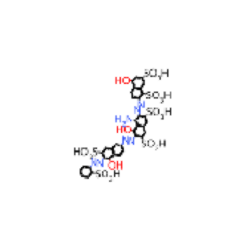 Nc1c(N=Nc2ccc3c(O)cc(S(=O)(=O)O)cc3c2S(=O)(=O)O)c(S(=O)(=O)O)cc2cc(S(=O)(=O)O)c(N=Nc3ccc4c(O)c(N=Nc5ccccc5S(=O)(=O)O)c(S(=O)(=O)O)cc4c3)c(O)c12